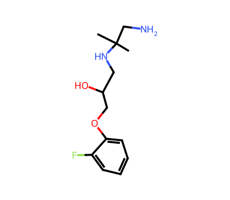 CC(C)(CN)NCC(O)COc1ccccc1F